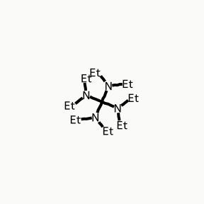 CCN(CC)C(N(CC)CC)(N(CC)CC)N(CC)CC